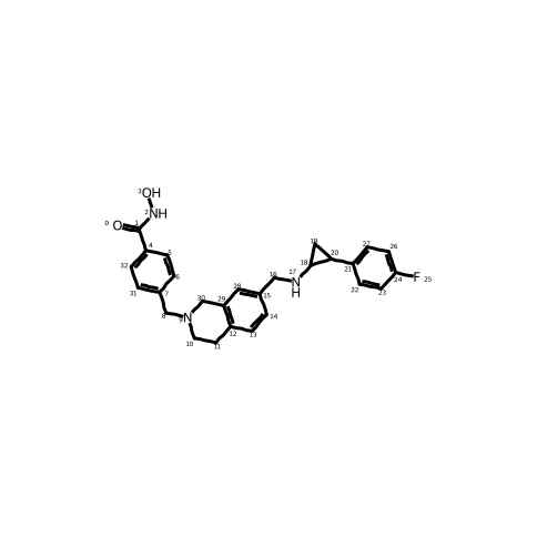 O=C(NO)c1ccc(CN2CCc3ccc(CNC4CC4c4ccc(F)cc4)cc3C2)cc1